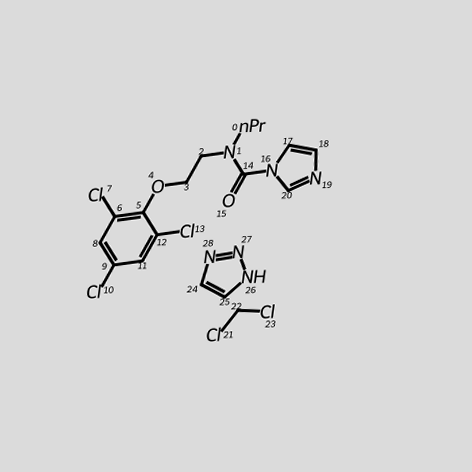 CCCN(CCOc1c(Cl)cc(Cl)cc1Cl)C(=O)n1ccnc1.ClCCl.c1c[nH]nn1